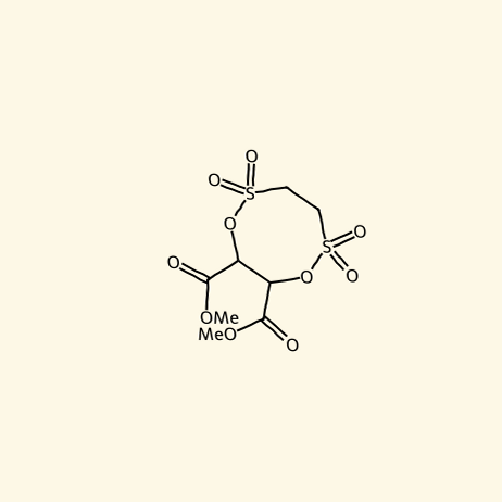 COC(=O)C1OS(=O)(=O)CCS(=O)(=O)OC1C(=O)OC